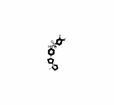 C[C@H]1CCCN1C1CC[C@H](c2ccc(NS(=O)(=O)c3ccc(F)c(F)c3)cc2)C1